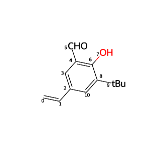 C=Cc1cc(C=O)c(O)c(C(C)(C)C)c1